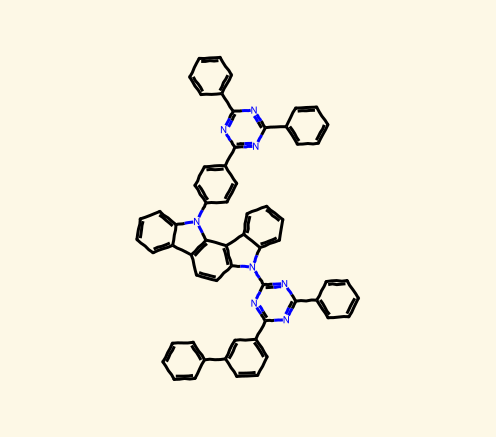 c1ccc(-c2cccc(-c3nc(-c4ccccc4)nc(-n4c5ccccc5c5c4ccc4c6ccccc6n(-c6ccc(-c7nc(-c8ccccc8)nc(-c8ccccc8)n7)cc6)c45)n3)c2)cc1